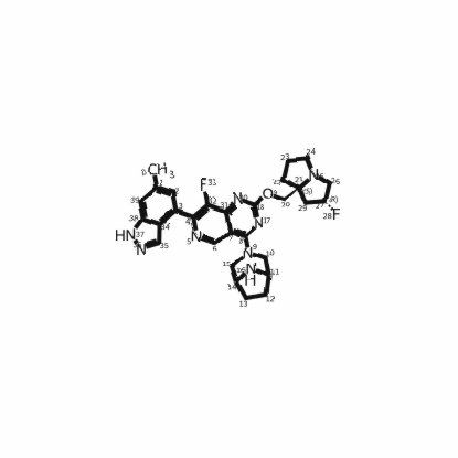 Cc1cc(-c2ncc3c(N4CC5CCC(C4)N5)nc(OC[C@@]45CCCN4C[C@H](F)C5)nc3c2F)c2cn[nH]c2c1